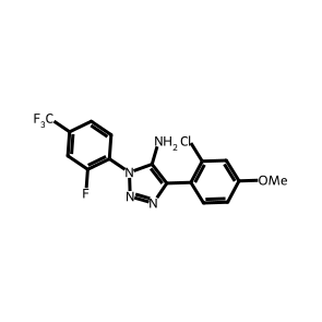 COc1ccc(-c2nnn(-c3ccc(C(F)(F)F)cc3F)c2N)c(Cl)c1